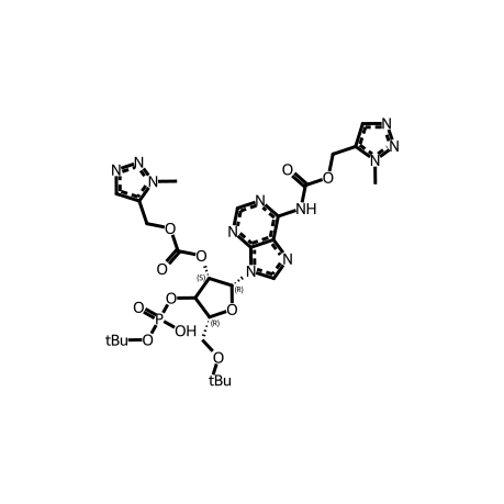 Cn1nncc1COC(=O)Nc1ncnc2c1ncn2[C@@H]1O[C@H](COC(C)(C)C)C(OP(=O)(O)OC(C)(C)C)[C@@H]1OC(=O)OCc1cnnn1C